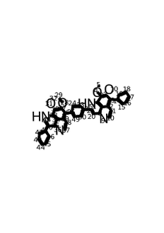 COc1c(OC)c2c3c(nccc3c1-c1ccccc1)C=C(c1ccc(-c3c(OC)c(OC)c4c5c(nccc35)C(c3ccccc3)=CN4)cc1)N2